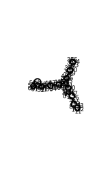 CC1(C)c2cc(-c3ccc4ccccc4c3)ccc2-c2ccc(N(c3ccc(-c4ccc(-c5ccccc5)cc4)cc3)c3ccc(-c4ccc(-c5ccc6c(c5)oc5ccccc56)cc4)cc3)cc21